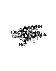 CN(C(=O)OC(C)(C)C)[C@@H]1[C@@H](O)[C@@H](O[C@@H]2[C@@H](O)[C@H](C3OC(CNCC(O)CO)=CC[C@H]3NC(=O)OC(C)(C)C)[C@@H](NC(=O)OC(C)(C)C)C[C@H]2NC(=O)CO)OC[C@]1(C)O